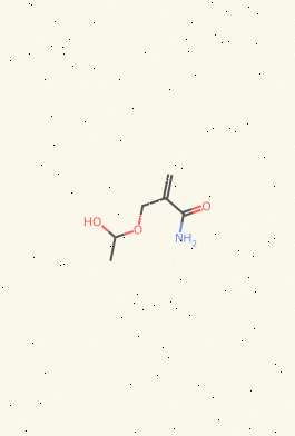 C=C(COC(C)O)C(N)=O